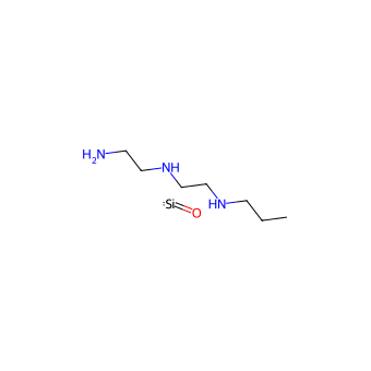 CCCNCCNCCN.O=[Si]